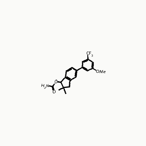 COc1cc(-c2ccc3c(c2)CC(C)(C)C3OC(N)=O)cc(C(F)(F)F)c1